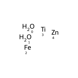 O.O.[Fe].[Ti].[Zn]